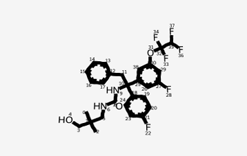 CC(C)(CO)CNC(=O)NC(Cc1ccccc1)(c1ccc(F)cc1)c1cc(F)cc(OC(F)(F)C(F)F)c1